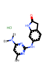 CCCc1cc(N(CC)CC)nc(Nc2ccc3c(c2)NC(=O)C3)n1.Cl